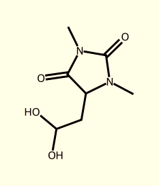 CN1C(=O)C(CC(O)O)N(C)C1=O